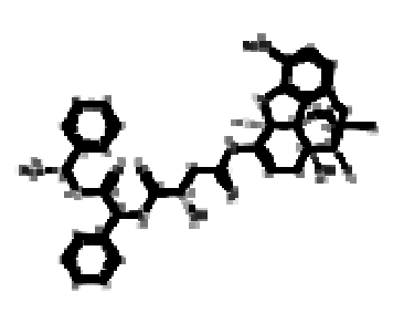 COc1ccc2c3c1O[C@@H]1C(OC(=O)C[C@H](O)C(=O)O[C@H](C(=O)O[C@H](C(=O)O)c4ccccc4)c4ccccc4)=CC[C@]4(O)[C@H](C2)N(C)CC[C@@]314